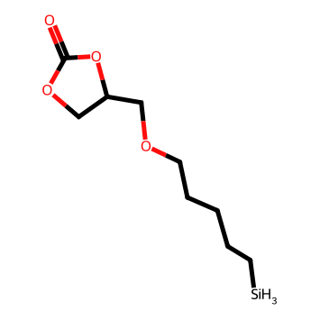 O=C1OCC(COCCCCC[SiH3])O1